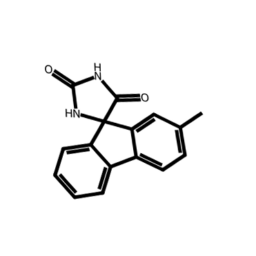 Cc1ccc2c(c1)C1(NC(=O)NC1=O)c1ccccc1-2